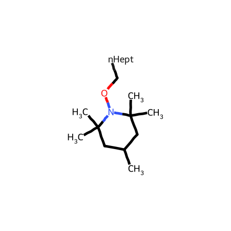 CCCCCCCCON1C(C)(C)CC(C)CC1(C)C